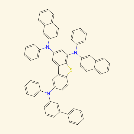 c1ccc(-c2cccc(N(c3ccccc3)c3ccc4sc5c(N(c6ccccc6)c6ccc7ccccc7c6)cc(N(c6ccccc6)c6ccc7ccccc7c6)cc5c4c3)c2)cc1